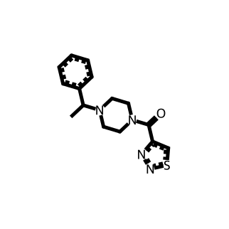 CC(c1ccccc1)N1CCN(C(=O)c2csnn2)CC1